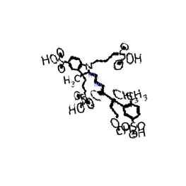 C=C(/C=C/C=C1/N(CCCS(=O)(=O)O)c2ccc(S(=O)(=O)O)cc2C1(C)CCCS(=O)(=O)O)C(C)(CCOC)c1cc(S(=O)(=O)O)ccc1C